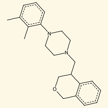 Cc1cccc(N2CCN(CC3COCc4ccccc43)CC2)c1C